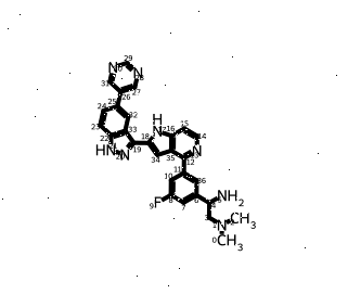 CN(C)CC(N)c1cc(F)cc(-c2nccc3[nH]c(-c4n[nH]c5ccc(-c6cncnc6)cc45)cc23)c1